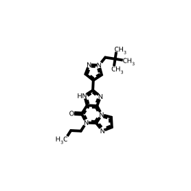 CCCn1c(=O)c2[nH]c(-c3cnn(CC(C)(C)C)c3)nc2n2ccnc12